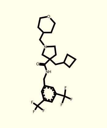 O=C(NCc1cc(C(F)(F)F)cc(C(F)(F)F)c1)C1(CC2CCC2)CCN(CC2CCOCC2)C1